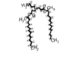 CCCCCCCCCCCCCC(C)OC(=O)CCN(CCCN)CCC(=O)OC(C)CCCCCCCCCCCCC